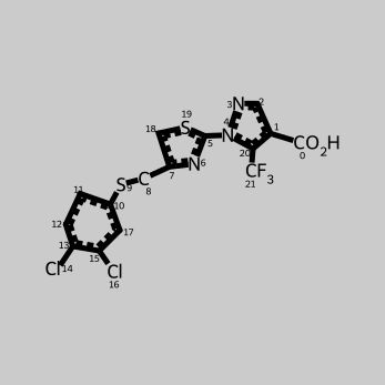 O=C(O)c1cnn(-c2nc(CSc3ccc(Cl)c(Cl)c3)cs2)c1C(F)(F)F